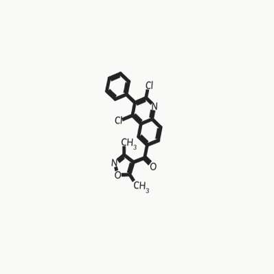 Cc1noc(C)c1C(=O)c1ccc2nc(Cl)c(-c3ccccc3)c(Cl)c2c1